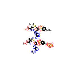 Cc1ccc(S(=O)(=O)O[C@H]2[C@@H](O)[C@H](n3cnc4c(N)ncnc43)O[C@@H]2C[S+](C)CC[C@H](N)C(=O)O)cc1.Cc1ccc(S(=O)(=O)O[C@H]2[C@@H](O)[C@H](n3cnc4c(N)ncnc43)O[C@@H]2C[S+](C)CC[C@H](N)C(=O)O)cc1.O=S(=O)([O-])OS(=O)(=O)[O-]